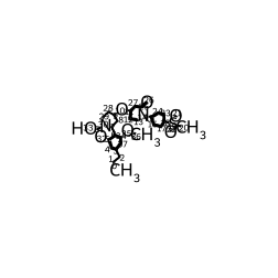 CCCc1ccc(C2CC(Oc3ccn(-c4ccc(S(C)(=O)=O)cc4)c(=O)c3)CCN2C(=O)O)c(OC)c1